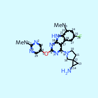 CNc1ncc(Oc2nc(N3CCC4(CC4N)C3)c3c(n2)[nH]c2c(NC)cc(F)cc23)cn1